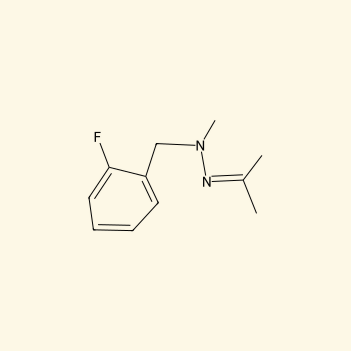 CC(C)=NN(C)Cc1ccccc1F